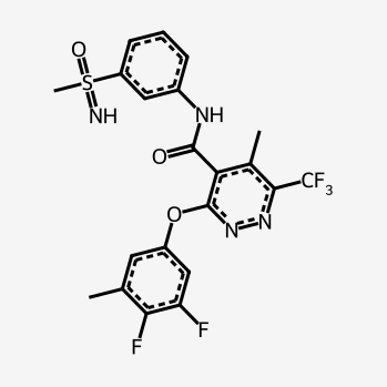 Cc1cc(Oc2nnc(C(F)(F)F)c(C)c2C(=O)Nc2cccc(S(C)(=N)=O)c2)cc(F)c1F